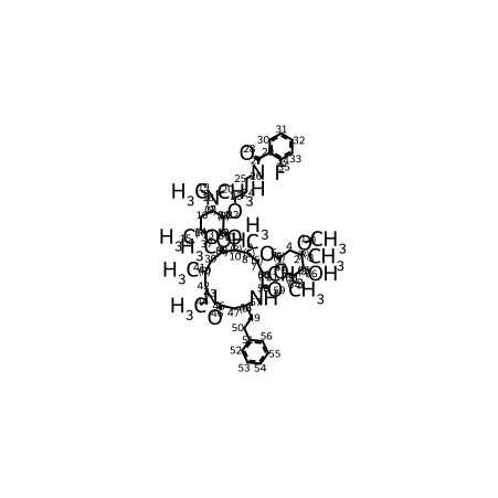 CO[C@]1(C)C[C@H](O[C@H]2[C@H](C)[C@@H](O[C@@H]3O[C@H](C)C[C@H](N(C)C)[C@H]3OCCCNC(=O)c3ccccc3F)[C@](C)(O)C[C@@H](C)CN(C)C(=O)C[C@H](CCc3ccccc3)NC(=O)[C@@H]2C)O[C@@H](C)[C@@H]1O